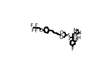 C[C@@H](SC1COC(C=CC=Cc2ccc(OCC(F)(F)C(F)F)cc2)OC1)[C@](O)(Cn1cncn1)c1ccc(F)cc1F